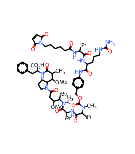 CCC(C)C(C(CC(=O)N1CCCC1C(OC)C(C)C(=O)NC(Cc1ccccc1)C(=O)O)OC)N(C)C(=O)[C@@H](NC(=O)C(C(C)C)N(C)C(=O)OCc1ccc(NC(=O)C(CCCNC(N)=O)NC(=O)C(NC(=O)CCCCCN2C(=O)C=CC2=O)C(C)C)cc1)C(C)C